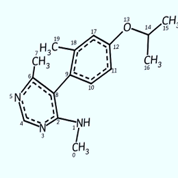 CNc1ncnc(C)c1-c1ccc(OC(C)C)cc1C